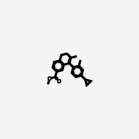 COC(=O)c1ccc2c(c1)C(c1ccc(C3CC3)cc1C)=C(C)CC2